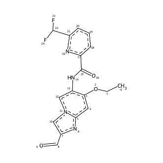 CCOc1cc2nc(C=O)cn2cc1NC(=O)c1cccc(C(F)F)n1